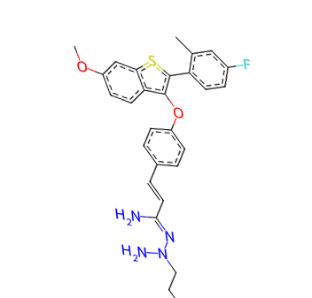 CCCN(N)/N=C(N)/C=C/c1ccc(Oc2c(-c3ccc(F)cc3C)sc3cc(OC)ccc23)cc1